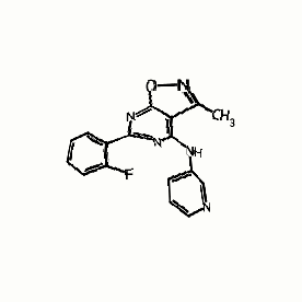 Cc1noc2nc(-c3ccccc3F)nc(Nc3cccnc3)c12